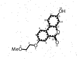 COCCOc1ccc2c(c1)c(=O)oc1cc(O)ccc12